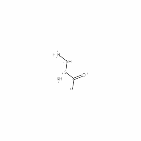 CC(=O)SNN.[KH]